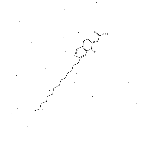 CCCCCCCCCCCCCCc1ccc2c(c1)C(=O)/C(=C/C(=O)O)CC2